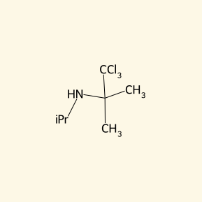 CC(C)NC(C)(C)C(Cl)(Cl)Cl